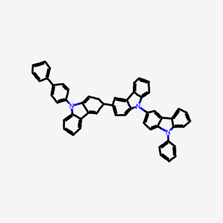 C1=c2c(n(-c3ccc(-c4ccccc4)cc3)c3ccccc23)=CCC1c1ccc2c(c1)c1ccccc1n2-c1ccc2c(c1)c1ccccc1n2-c1ccccc1